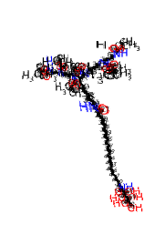 CC(C)(C)OC(=O)NCCCN(CCCCN(CC(CCCCCCNC(=O)CCCCCCCCCCCCCCCCCCCCCCCNC(=O)[C@@H](O)[C@H](O)[C@@H](O)[C@H](O)CO)CN(CCCCN(CCCNC(=O)OC(C)(C)C)C(=O)OC(C)(C)C)C(=O)OC(C)(C)C)C(=O)OC(C)(C)C)C(=O)OC(C)(C)C